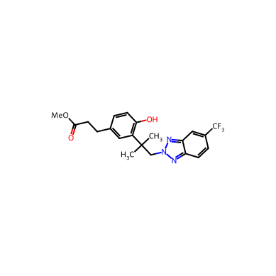 COC(=O)CCc1ccc(O)c(C(C)(C)Cn2nc3ccc(C(F)(F)F)cc3n2)c1